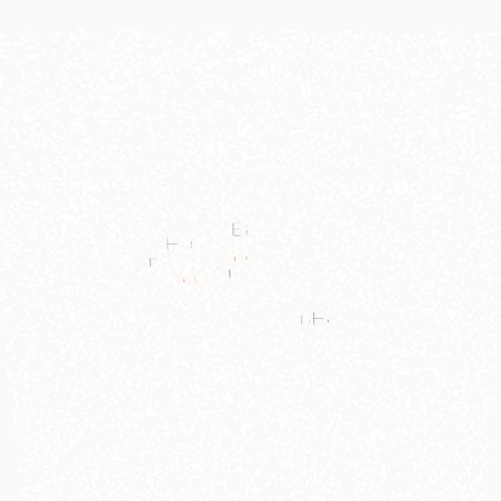 CCCCCCCC=C[Si](C)(OCC)OCC